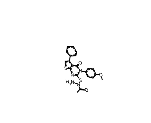 COc1ccc(-n2c(SN(N)C(C)=O)nc3scc(-c4ccccc4)c3c2=O)cc1